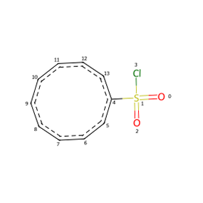 O=S(=O)(Cl)c1ccccccccc1